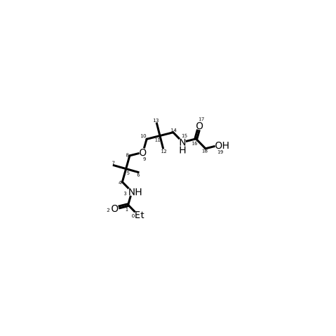 CCC(=O)NCC(C)(C)COCC(C)(C)CNC(=O)CO